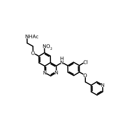 CC(=O)NCCOc1cc2ncnc(Nc3ccc(OCc4cccnc4)c(Cl)c3)c2cc1[N+](=O)[O-]